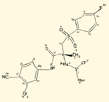 CC(C)(C)[S+]([O-])N[C@@](C)(CS(=O)(=O)c1ccc(F)cc1)C(=O)Nc1ccc(C#N)c(C(F)(F)F)c1